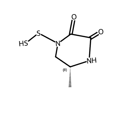 C[C@@H]1CN(SS)C(=O)C(=O)N1